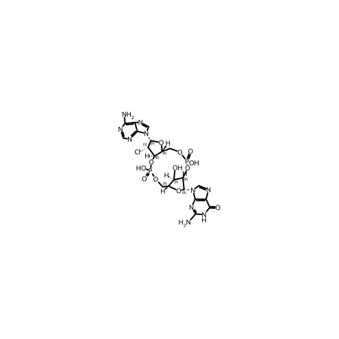 Nc1nc2c(ncn2[C@@H]2O[C@@H]3COP(=O)(O)O[C@H]4[C@H](Cl)[C@H](n5cnc6c(N)ncnc65)O[C@@H]4COP(=O)(O)O[C@@H]2[C@@H]3O)c(=O)[nH]1